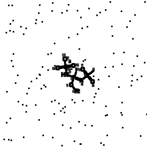 CCOP(F)(=NS(C)(=O)=O)NS(=O)(=O)C(F)(F)F